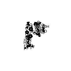 CC(C)=C1OC(=O)N(c2cc(OC3CCCC3)c(Cl)cc2F)C1=O.CCS(=O)(=O)c1cccnc1S(=O)(=O)NC(=O)Nc1nc(OC)cc(OC)n1.CP(=O)(O)CCC(N)C(=O)O.O=C(Nc1nc(OC(F)F)cc(OC(F)F)n1)NS(=O)(=O)c1ccccc1C(=O)O